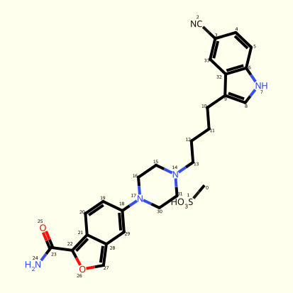 CS(=O)(=O)O.N#Cc1ccc2[nH]cc(CCCCN3CCN(c4ccc5c(C(N)=O)occ5c4)CC3)c2c1